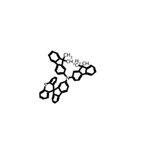 CC1(C)c2ccccc2-c2ccc(N(c3ccc4c(c3)C(C)(C)c3ccccc3-4)c3ccc4c(c3)C3(c5ccccc5Sc5ccccc53)c3ccccc3-4)cc21